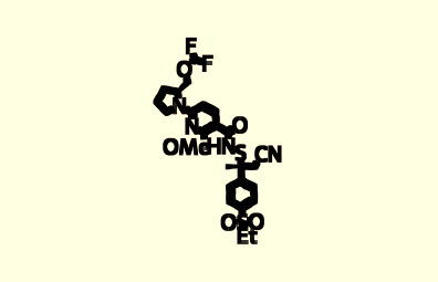 CCS(=O)(=O)c1ccc([C@@](C)(CC#N)SNC(=O)c2ccc(N3CCC[C@H]3COC(F)F)nc2OC)cc1